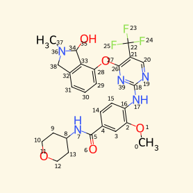 COc1cc(C(=O)NC2CCOCC2)ccc1Nc1ncc(C(F)(F)F)c(Oc2cccc3c2C(O)N(C)C3)n1